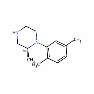 Cc1ccc(C)c(N2CCNC[C@@H]2C)c1